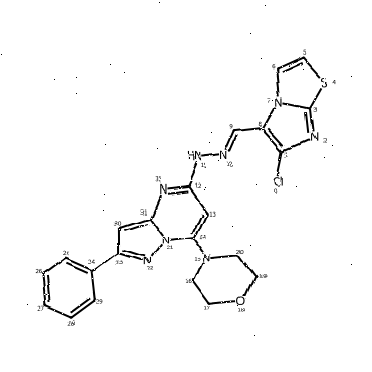 Clc1nc2sccn2c1/C=N/Nc1cc(N2CCOCC2)n2nc(-c3ccccc3)cc2n1